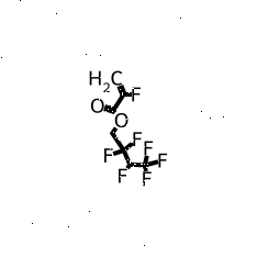 C=C(F)C(=O)OCC(F)(F)C(F)C(F)(F)F